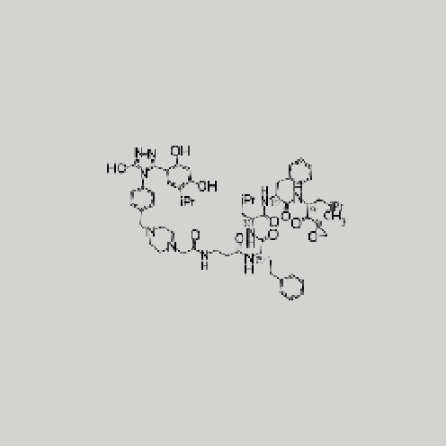 CC(C)C[C@H](NC(=O)[C@H](CCc1ccccc1)NC(=O)CCNC(=O)CN1CCN(Cc2ccc(-n3c(O)nnc3-c3cc(C(C)C)c(O)cc3O)cc2)CC1)C(=O)N[C@@H](Cc1ccccc1)C(=O)N[C@@H](CC(C)C)C(=O)[C@@]1(C)CO1